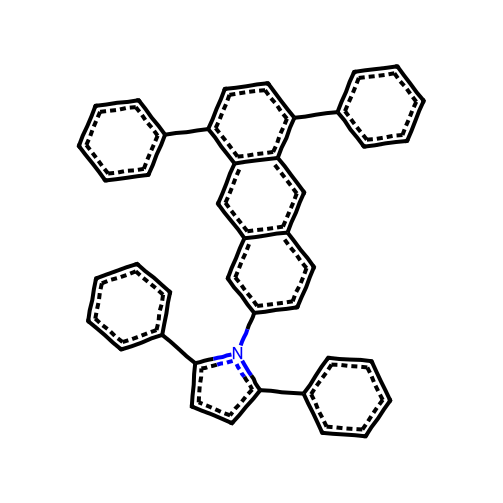 c1ccc(-c2ccc(-c3ccccc3)c3cc4cc(-n5c(-c6ccccc6)ccc5-c5ccccc5)ccc4cc23)cc1